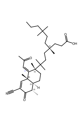 CCCC(C)(C)CC[C@](C)(CCC(=O)O)CCC(C)(C)[C@]1(C)CC[C@H]2[C@H](C)C(=O)C(C#N)=C[C@]2(C)/C1=C/C(C)=O